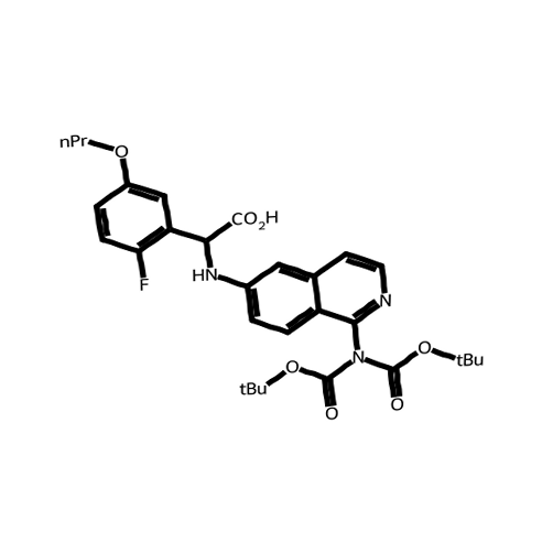 CCCOc1ccc(F)c(C(Nc2ccc3c(N(C(=O)OC(C)(C)C)C(=O)OC(C)(C)C)nccc3c2)C(=O)O)c1